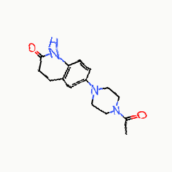 CC(=O)N1CCN(c2ccc3c(c2)CCC(=O)N3)CC1